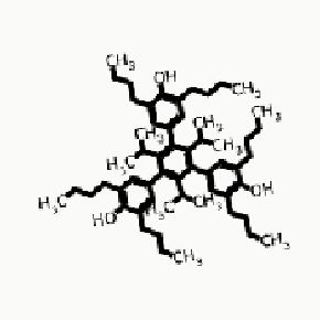 CCCCc1cc(-c2c(C(C)C)c(-c3cc(CCCC)c(O)c(CCCC)c3)c(C(C)C)c(-c3cc(CCCC)c(O)c(CCCC)c3)c2C(C)C)cc(CCCC)c1O